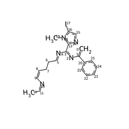 C=C(/N=C(/N=C/CC/C=C\N=C/C)c1ncc(I)n1C)c1ccccc1